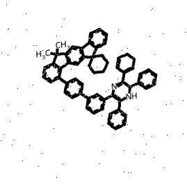 CC1(C)c2cc3c(cc2-c2c(-c4ccc(-c5cccc(C6=C(c7ccccc7)NC(c7ccccc7)C(C7=CCCC=C7)=N6)c5)cc4)cccc21)C1(CCCCC1)c1ccccc1-3